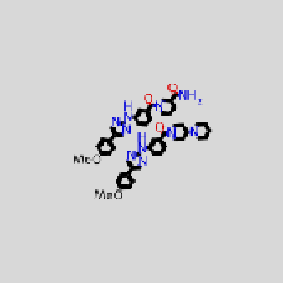 COc1ccc(-c2cnc(Nc3cccc(C(=O)N4CCC(N5CCCCC5)CC4)c3)nc2)cc1.COc1ccc(-c2cnc(Nc3cccc(C(=O)N4CCCC(C(N)=O)C4)c3)nc2)cc1